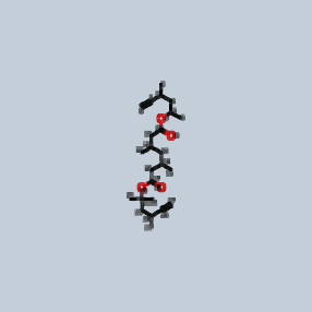 C#CC(C)CC(C)OC(=O)CC(C)CC(C)CC(=O)OC(C)(C)CC(C)C#C